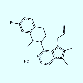 C=CCn1c(C)c(C)c2ccnc(N3CCc4ccc(F)cc4C3C)c21.Cl